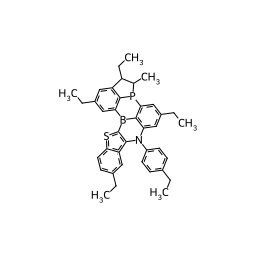 CCc1ccc(N2c3cc(CC)cc4c3B(c3cc(CC)cc5c3P4C(C)C5CC)c3sc4ccc(CC)cc4c32)cc1